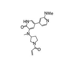 C=CC(=O)N1CCC(N(C)c2cc(-c3ccnc(NC)c3)c[nH]c2=O)C1